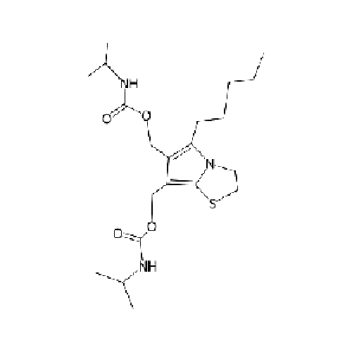 CCCCCc1c(COC(=O)NC(C)C)c(COC(=O)NC(C)C)c2n1CCS2